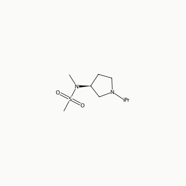 CC(C)N1CC[C@H](N(C)S(C)(=O)=O)C1